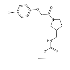 CC(C)(C)OC(=O)NCC1CCN(C(=O)COc2ccc(Cl)cc2)C1